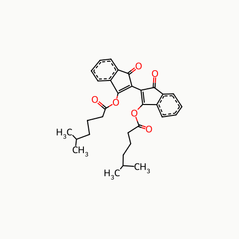 CC(C)CCCC(=O)OC1=C(C2=C(OC(=O)CCCC(C)C)c3ccccc3C2=O)C(=O)c2ccccc21